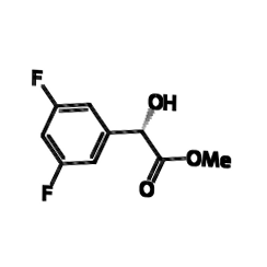 COC(=O)[C@@H](O)c1cc(F)cc(F)c1